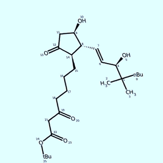 CCCCC(C)(C)[C@H](O)/C=C/[C@H]1[C@H](O)CC(=O)[C@@H]1CCCCC(=O)CC(=O)OC(C)(C)C